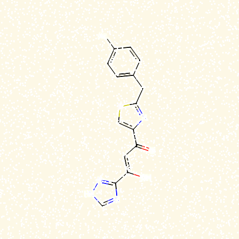 CC(=O)c1ccc(Cc2nc(C(=O)C=C(O)c3nc[nH]n3)cs2)cc1